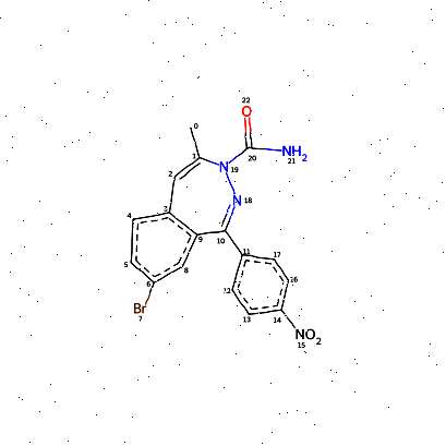 CC1=Cc2ccc(Br)cc2C(c2ccc([N+](=O)[O-])cc2)=NN1C(N)=O